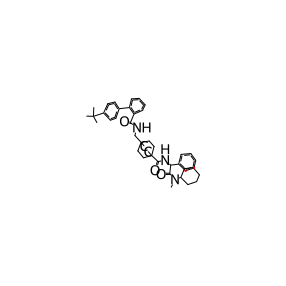 CN(C(=O)[C@@H](NC(=O)C12CCC(CNC(=O)c3ccccc3-c3ccc(C(C)(C)C)cc3)(CC1)CC2)c1ccccc1)C1CCCCC1